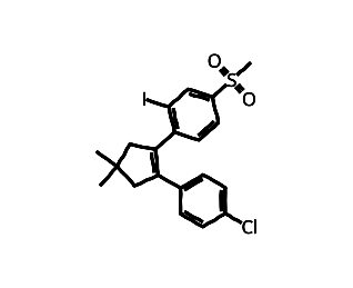 CC1(C)CC(c2ccc(Cl)cc2)=C(c2ccc(S(C)(=O)=O)cc2I)C1